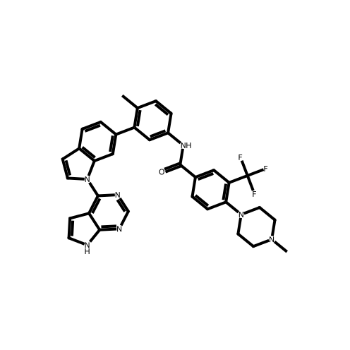 Cc1ccc(NC(=O)c2ccc(N3CCN(C)CC3)c(C(F)(F)F)c2)cc1-c1ccc2ccn(-c3ncnc4[nH]ccc34)c2c1